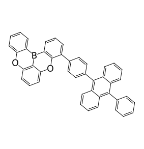 c1ccc(-c2c3ccccc3c(-c3ccc(-c4cccc5c4Oc4cccc6c4B5c4ccccc4O6)cc3)c3ccccc23)cc1